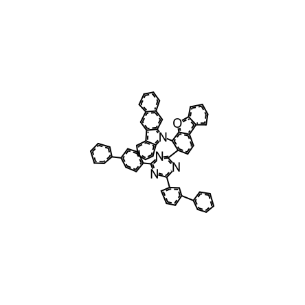 c1ccc(-c2ccc(-c3nc(-c4cccc(-c5ccccc5)c4)nc(-c4ccc5c(oc6ccccc65)c4-n4c5ccccc5c5cc6ccccc6cc54)n3)cc2)cc1